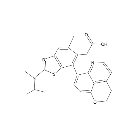 Cc1cc2nc(N(C)C(C)C)sc2c(-c2ccc3c4c(ccnc24)CCO3)c1CC(=O)O